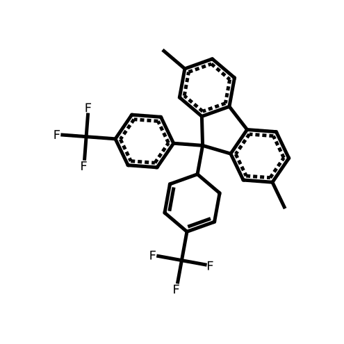 Cc1ccc2c(c1)C(c1ccc(C(F)(F)F)cc1)(C1C=CC(C(F)(F)F)=CC1)c1cc(C)ccc1-2